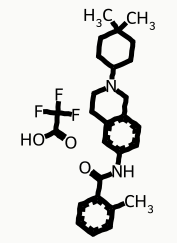 Cc1ccccc1C(=O)Nc1ccc2c(c1)CCN(C1CCC(C)(C)CC1)C2.O=C(O)C(F)(F)F